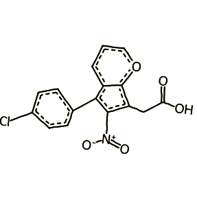 O=C(O)Cc1c2occcc-2c(-c2ccc(Cl)cc2)c1[N+](=O)[O-]